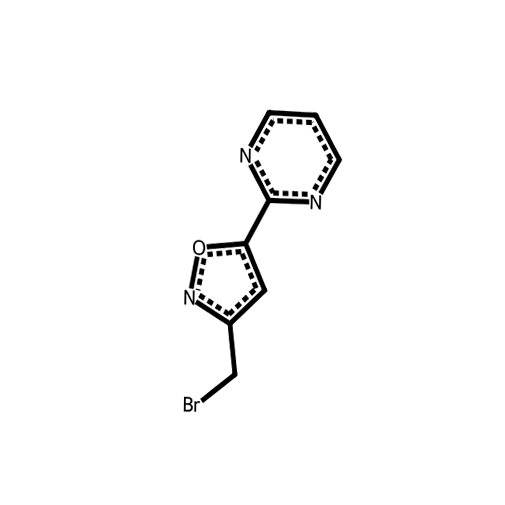 BrCc1cc(-c2ncccn2)on1